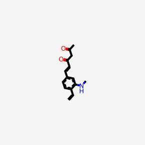 C=Cc1ccc(/C=C/C(=O)CC(C)=O)cc1NC